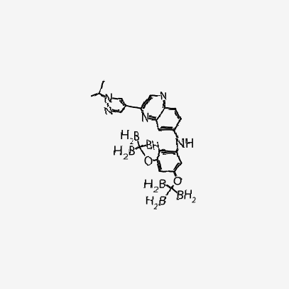 BC(B)(B)Oc1cc(Nc2ccc3ncc(-c4cnn(C(C)C)c4)nc3c2)cc(OC(B)(B)B)c1